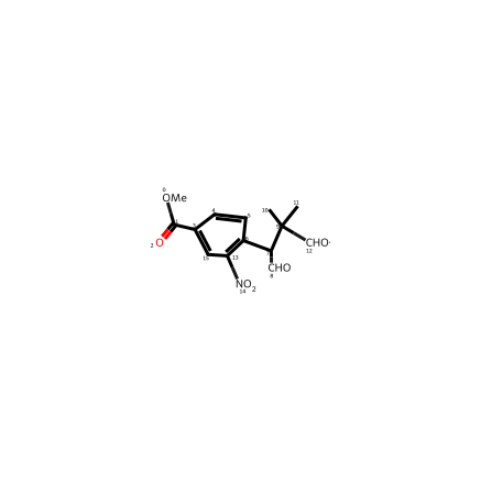 COC(=O)c1ccc(C(C=O)C(C)(C)[C]=O)c([N+](=O)[O-])c1